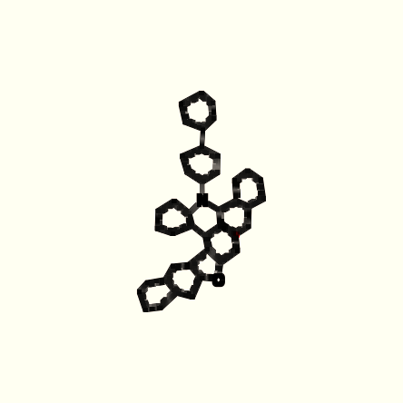 c1ccc(-c2ccc(N(c3ccccc3-c3cccc4oc5cc6ccccc6cc5c34)c3cccc4ccccc34)cc2)cc1